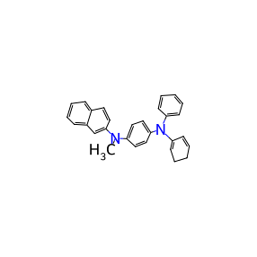 CN(c1ccc(N(C2=CCCC=C2)c2ccccc2)cc1)c1ccc2ccccc2c1